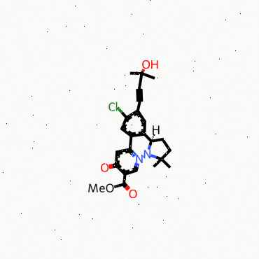 COC(=O)c1cn2c(cc1=O)-c1cc(Cl)c(C#CC(C)(C)O)cc1[C@H]1CCC(C)(C)N12